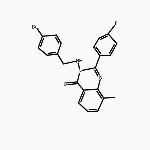 Cc1cccc2c(=O)n(NCc3ccc(Br)cc3)c(-c3ccc(F)cc3)nc12